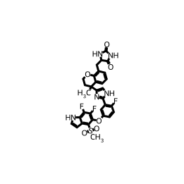 CC1(c2c[nH]c(-c3cc(Oc4c(F)c(F)c5[nH]ccc5c4S(C)(=O)=O)ccc3F)n2)CCOc2c(CC3NC(=O)NC3=O)cccc21